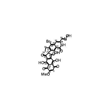 COC1=CC(=O)c2c(O)c3c(c(O)c2C1=O)C(=O)[C@]1(CCc2c1c(O)c1c(=O)[nH]c(/C=N/O)cc1c2Br)C3=O